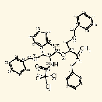 C[C@@H](OCc1ccccc1)C(COCc1ccccc1)OC(Sc1ccccc1)[C@H](COCc1ccccc1)NC(=O)C(Cl)(Cl)Cl